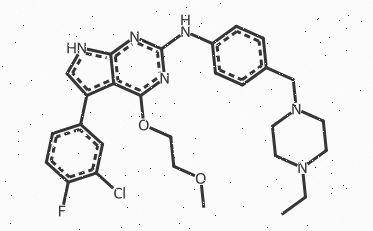 CCN1CCN(Cc2ccc(Nc3nc(OCCOC)c4c(-c5ccc(F)c(Cl)c5)c[nH]c4n3)cc2)CC1